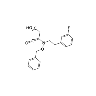 O=C=C(CC(=O)O)N(CCc1cccc(F)c1)OCc1ccccc1